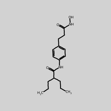 CCCC(CCC)C(=O)Nc1ccc(CCC(=O)NO)cc1